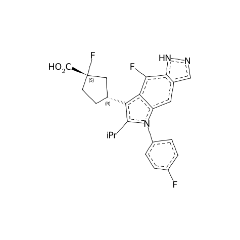 CC(C)c1c([C@@H]2CC[C@@](F)(C(=O)O)C2)c2c(F)c3[nH]ncc3cc2n1-c1ccc(F)cc1